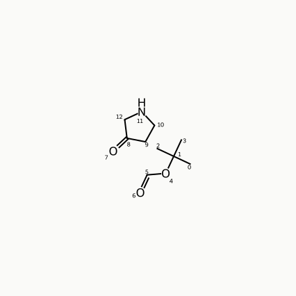 CC(C)(C)OC=O.O=C1CCNC1